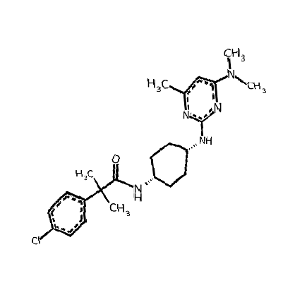 Cc1cc(N(C)C)nc(N[C@H]2CC[C@@H](NC(=O)C(C)(C)c3ccc(Cl)cc3)CC2)n1